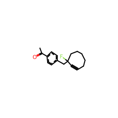 CC(=O)c1ccc(CC2(F)C#CCCCCC2)cc1